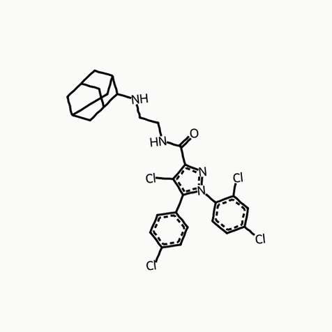 O=C(NCCNC1C2CC3CC(C2)CC1C3)c1nn(-c2ccc(Cl)cc2Cl)c(-c2ccc(Cl)cc2)c1Cl